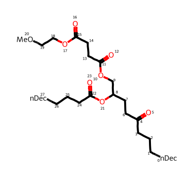 CCCCCCCCCCCCCC(=O)CCC(COC(=O)CCC(=O)OCCOC)OC(=O)CCCCCCCCCCCCC